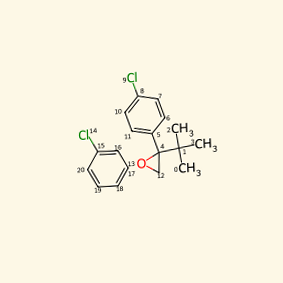 CC(C)(C)C1(c2ccc(Cl)cc2)CO1.Clc1ccccc1